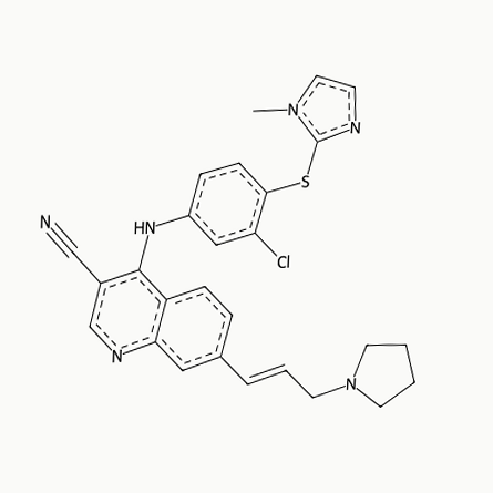 Cn1ccnc1Sc1ccc(Nc2c(C#N)cnc3cc(/C=C/CN4CCCC4)ccc23)cc1Cl